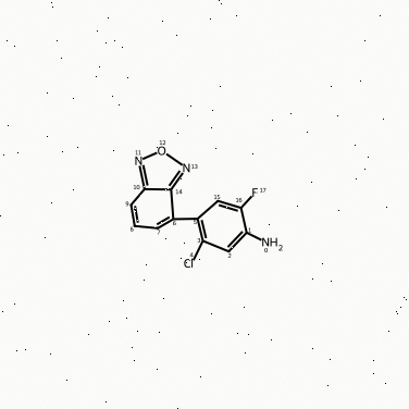 Nc1cc(Cl)c(-c2cccc3nonc23)cc1F